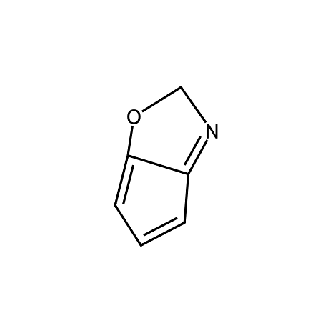 C1=CC2=NCOC2=C1